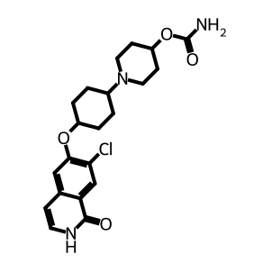 NC(=O)OC1CCN(C2CCC(Oc3cc4cc[nH]c(=O)c4cc3Cl)CC2)CC1